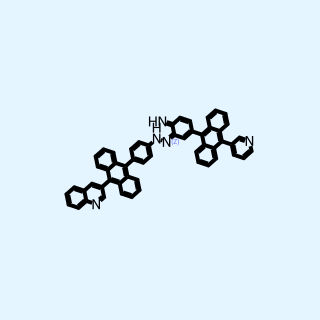 N=C1C=CC(c2c3ccccc3c(-c3cccnc3)c3ccccc23)=C/C1=N/Nc1ccc(-c2c3ccccc3c(-c3cnc4ccccc4c3)c3ccccc23)cc1